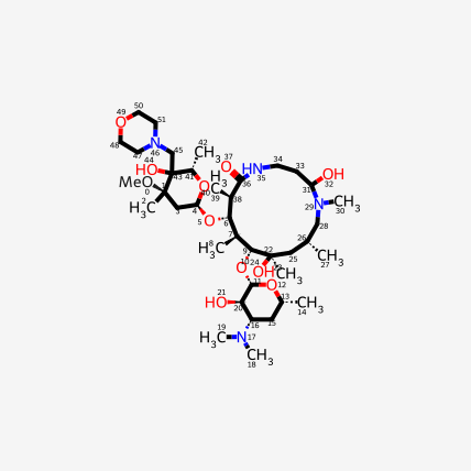 CO[C@]1(C)C[C@H](O[C@H]2[C@H](C)[C@@H](O[C@@H]3O[C@H](C)C[C@H](N(C)C)[C@H]3O)[C@](C)(O)C[C@@H](C)CN(C)C(O)CCNC(=O)[C@@H]2C)O[C@@H](C)C1(O)CN1CCOCC1